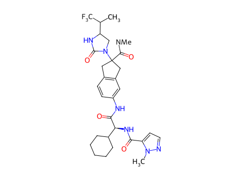 CNC(=O)C1(N2CC(C(C)C(F)(F)F)NC2=O)Cc2ccc(NC(=O)[C@@H](NC(=O)c3ccnn3C)C3CCCCC3)cc2C1